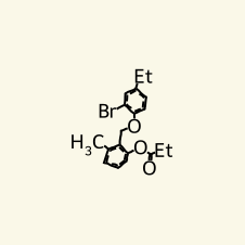 CCC(=O)Oc1cccc(C)c1COc1ccc(CC)cc1Br